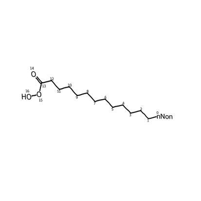 CCCCCCCCCCCCCCCCCCCCCC(=O)OO